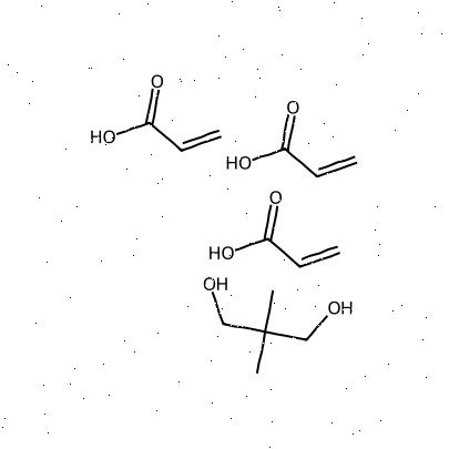 C=CC(=O)O.C=CC(=O)O.C=CC(=O)O.CC(C)(CO)CO